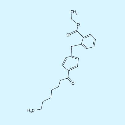 CCCCCCCC(=O)c1ccc(Cc2ccccc2C(=O)OCC)cc1